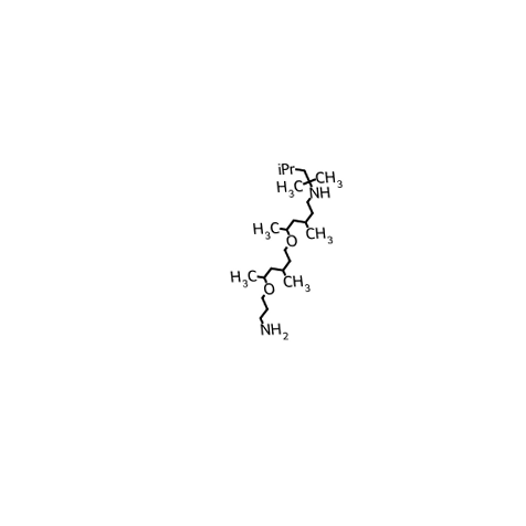 CC(C)CC(C)(C)NCCC(C)CC(C)OCCC(C)CC(C)OCCCN